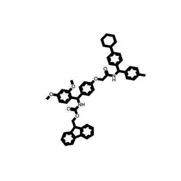 COc1ccc(C(NC(=O)OCC2c3ccccc3-c3ccccc32)c2ccc(OCC(=O)NC(c3ccc(C)cc3)c3ccc(C4CCCCC4)cc3)cc2)c(OC)c1